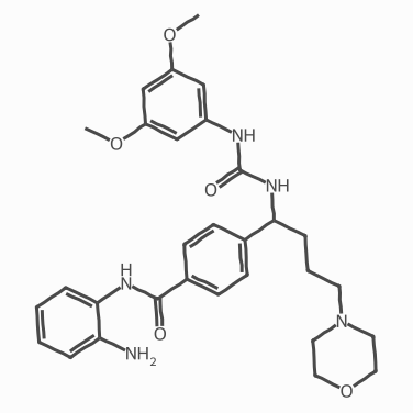 COc1cc(NC(=O)NC(CCCN2CCOCC2)c2ccc(C(=O)Nc3ccccc3N)cc2)cc(OC)c1